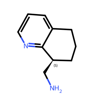 NC[C@@H]1CCCc2cccnc21